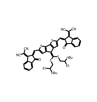 CCCCC(CC)CSC(SCC(CC)CCCC)=C1c2cc(/C=C3\C(=O)c4ccccc4C3=C(C#N)C#N)sc2-c2sc(/C=C3\C(=O)c4ccccc4C3=C(C#N)C#N)cc21